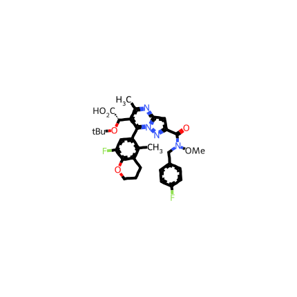 CON(Cc1ccc(F)cc1)C(=O)c1cc2nc(C)c([C@H](OC(C)(C)C)C(=O)O)c(-c3cc(F)c4c(c3C)CCCO4)n2n1